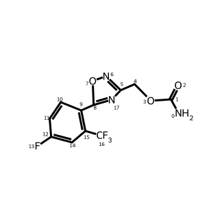 NC(=O)OCc1noc(-c2ccc(F)cc2C(F)(F)F)n1